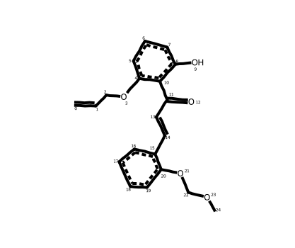 C=CCOc1cccc(O)c1C(=O)C=Cc1ccccc1OCOC